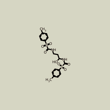 Cc1ccc(S(=O)(=O)C(=O)NCCC(O)NC(=O)S(=O)(=O)c2ccc(C)cc2)cc1